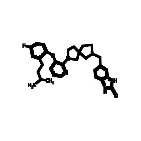 CC(C)CCc1cc(F)ccc1Oc1cncnc1N1CCC2(CCN(Cc3ccc4[nH]c(=O)[nH]c4c3)C2)C1